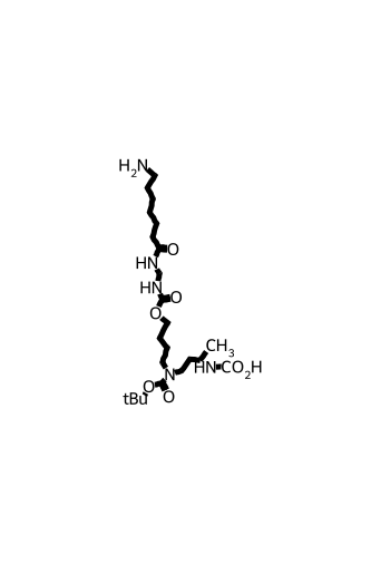 CC(CCN(CCCCOC(=O)NCNC(=O)CCCCCCN)C(=O)OC(C)(C)C)NC(=O)O